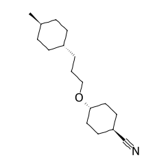 C[C@H]1CC[C@H](CCCO[C@H]2CC[C@H](C#N)CC2)CC1